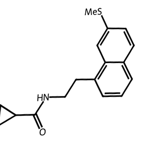 CSc1ccc2cccc(CCNC(=O)C3CC3)c2c1